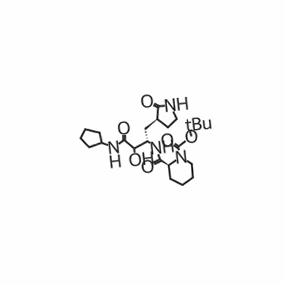 CC(C)(C)OC(=O)N1CCCC[C@H]1C(=O)N[C@@H](C[C@@H]1CCNC1=O)C(O)C(=O)NC1CCCC1